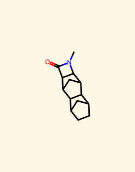 CN1C(=O)C2C3CC(C4C5CCC(C5)C34)C21